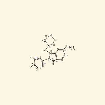 C/C=C(\C=C(\C)C(C)=O)C1Nc2ccc(CN)cc2N1CC1CCCCO1